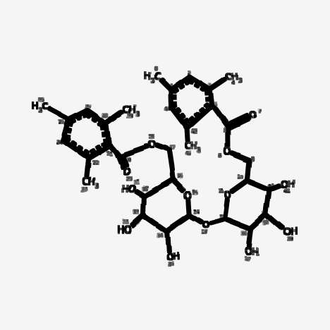 Cc1cc(C)c(C(=O)OCC2OC(OC3OC(COC(=O)c4c(C)cc(C)cc4C)C(O)C(O)C3O)C(O)C(O)C2O)c(C)c1